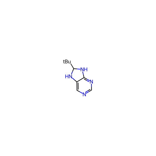 CC(C)(C)C1Nc2cncnc2N1